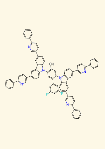 N#Cc1cc(-n2c3ccc(-c4ccc(-c5ccccc5)nc4)cc3c3cc(-c4ccc(-c5ccccc5)nc4)ccc32)c(-c2cc(F)cc(F)c2)cc1-n1c2ccc(-c3ccc(-c4ccccc4)nc3)cc2c2cc(-c3ccc(-c4ccccc4)nc3)ccc21